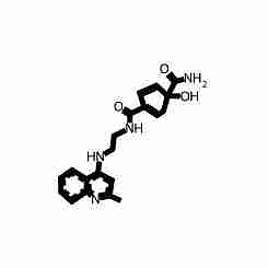 Cc1cc(NCCNC(=O)C2=CCC(O)(C(N)=O)C=C2)c2ccccc2n1